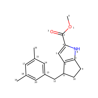 COC(=O)c1cc2c([nH]1)CCC2Cc1cc(C)cc(C)c1